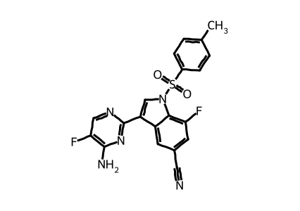 Cc1ccc(S(=O)(=O)n2cc(-c3ncc(F)c(N)n3)c3cc(C#N)cc(F)c32)cc1